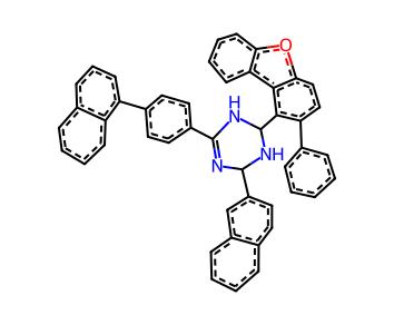 c1ccc(-c2ccc3oc4ccccc4c3c2C2NC(c3ccc(-c4cccc5ccccc45)cc3)=NC(c3ccc4ccccc4c3)N2)cc1